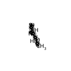 CN1CCC(NC(=O)c2ccc(-c3ccc4c(Nc5ccc6scnc6c5)ccnc4c3)cc2)CC1